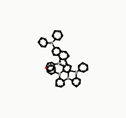 c1ccc(N(c2ccccc2)c2ccc3c(ccc4c5cc6c7c(c5n(-c5ccccc5)c34)N(c3ccccc3)c3ccccc3B7c3ccccc3N6c3ccccc3)c2)cc1